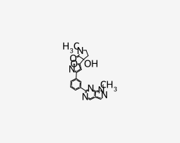 CN1CC[C@@](O)(c2cc(-c3cccc(-c4ncc5cnn(C)c5n4)c3)no2)C1=O